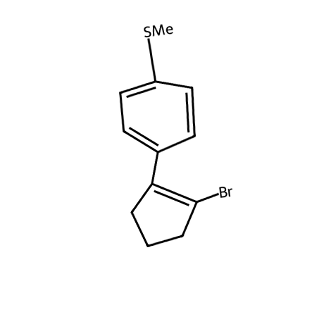 CSc1ccc(C2=C(Br)CCC2)cc1